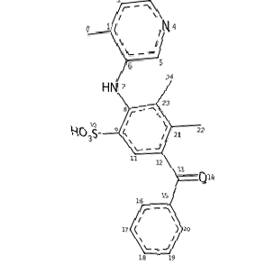 Cc1ccncc1Nc1c(S(=O)(=O)O)cc(C(=O)c2ccccc2)c(C)c1C